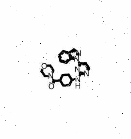 O=C(C1CCC(Nc2nccc(-n3ncc4ccccc43)n2)CC1)N1CCOCC1